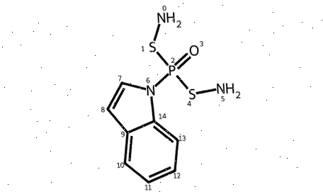 NSP(=O)(SN)n1ccc2ccccc21